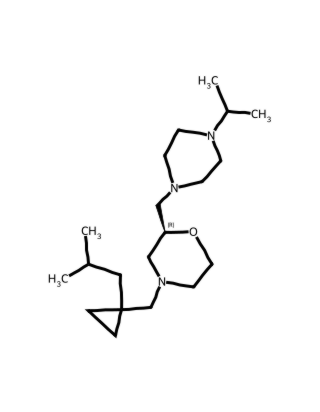 CC(C)CC1(CN2CCO[C@H](CN3CCN(C(C)C)CC3)C2)CC1